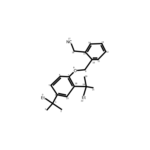 CCC(C)(C)c1ccc(OCc2ccccc2CC#N)c(C(C)(C)CC)c1